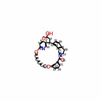 O=C(O)CC1c2ccc(nc2)OCCCCCOc2cccc(c2)C(=O)N2CCc3ccc1cc3C2